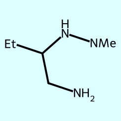 CCC(CN)NNC